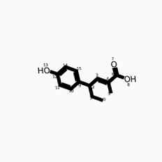 CCC(C=C(C)C(=O)O)c1ccc(O)cc1